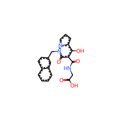 O=C(O)CNC(=O)c1c(O)c2cccn2n(Cc2ccc3ccccc3c2)c1=O